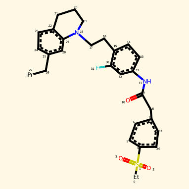 CCS(=O)(=O)c1ccc(CC(=O)Nc2ccc(CCN3CCCc4ccc(CC(C)C)cc43)c(F)c2)cc1